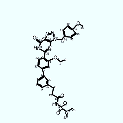 CCOc1cc(-c2cccc(CCC(=O)NS(=O)(=O)N(C)C)c2)ccc1-c1nc2c(nnn2Cc2ccc(OC)cc2)c(=O)[nH]1